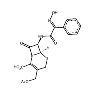 CC(=O)OCC1=C(C(=O)O)N2C(=O)[C@@H](NC(=O)C(=NO)c3ccccc3)[C@H]2SC1